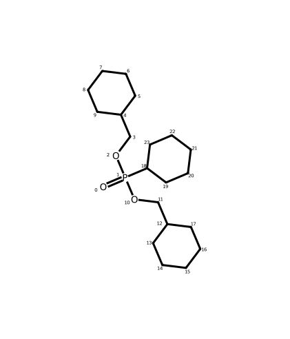 O=P(OCC1CCCCC1)(OCC1CCCCC1)C1CCCCC1